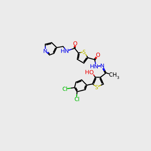 CC(=NNC(=O)c1ccc(C(=O)NCc2ccncc2)s1)c1csc(-c2ccc(Cl)c(Cl)c2)c1O